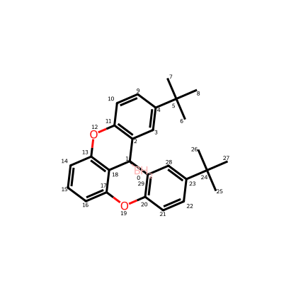 BC12c3cc(C(C)(C)C)ccc3Oc3cccc(c31)Oc1ccc(C(C)(C)C)cc12